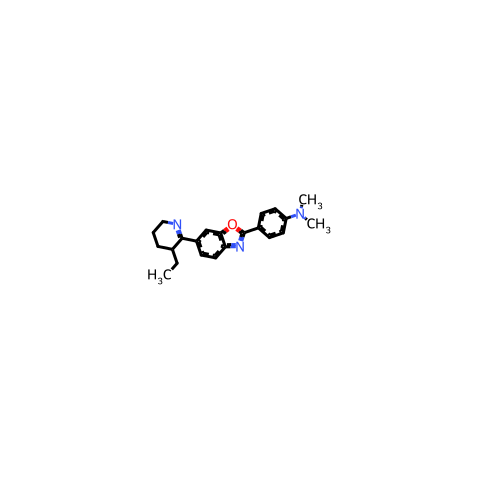 CCC1CCCN=C1c1ccc2nc(-c3ccc(N(C)C)cc3)oc2c1